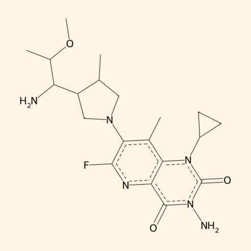 COC(C)C(N)C1CN(c2c(F)nc3c(=O)n(N)c(=O)n(C4CC4)c3c2C)CC1C